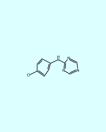 Clc1ccc(Nc2ncncn2)cc1